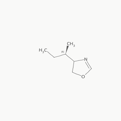 CC[C@@H](C)C1COC=N1